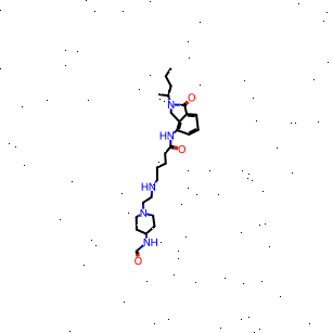 CCCC(C)N1Cc2c(NC(=O)CCCCNCCN3CCC(NC=O)CC3)cccc2C1=O